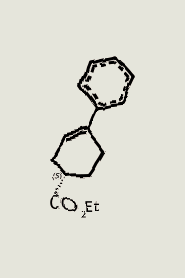 CCOC(=O)[C@@H]1CC=C(c2ccccc2)CC1